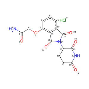 Cl.NC(=O)COc1cccc2c1C(=O)N(C1CCC(=O)NC1=O)C2=O